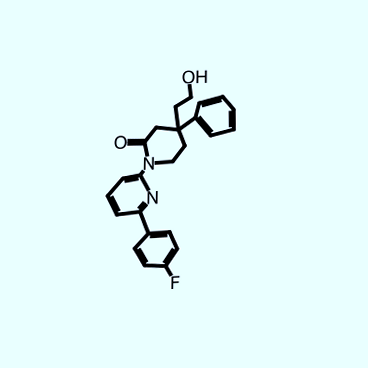 O=C1CC(CCO)(c2ccccc2)CCN1c1cccc(-c2ccc(F)cc2)n1